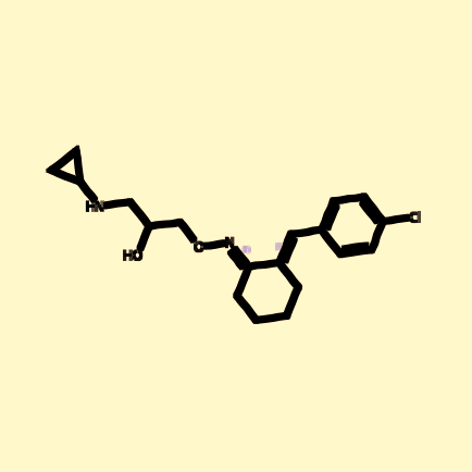 OC(CNC1CC1)CO/N=C1\CCCC\C1=C/c1ccc(Cl)cc1